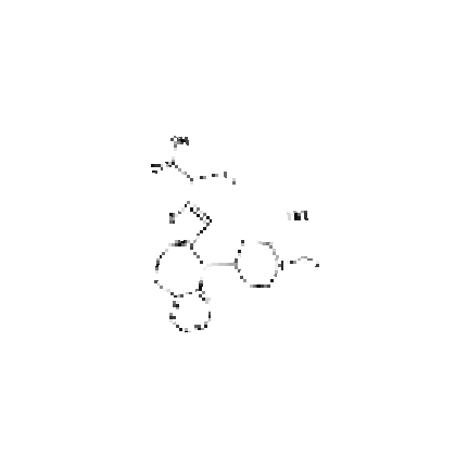 CC(C(=O)O)c1cc2c(s1)CCc1ccccc1C2=C1CCN(C)CC1.Cl